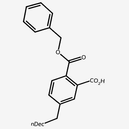 CCCCCCCCCCCc1ccc(C(=O)OCc2ccccc2)c(C(=O)O)c1